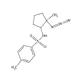 Cc1ccc(S(=O)(=O)NC2CCCC2(C)N=[N+]=[N-])cc1